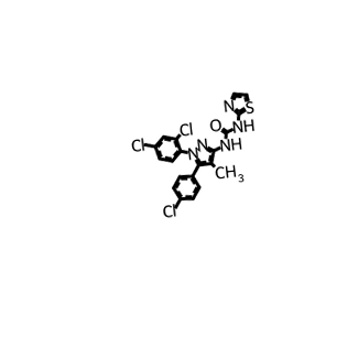 Cc1c(NC(=O)Nc2nccs2)nn(-c2ccc(Cl)cc2Cl)c1-c1ccc(Cl)cc1